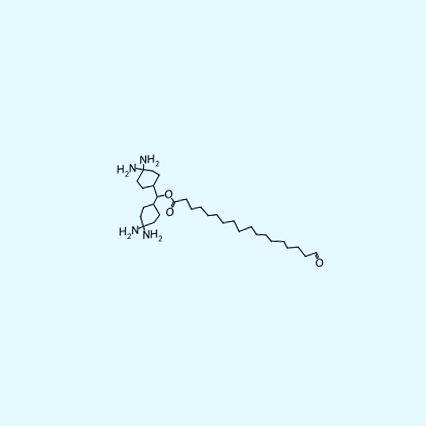 NC1(N)CCC(C(OC(=O)CCCCCCCCCCCCCCCCC=O)C2CCC(N)(N)CC2)CC1